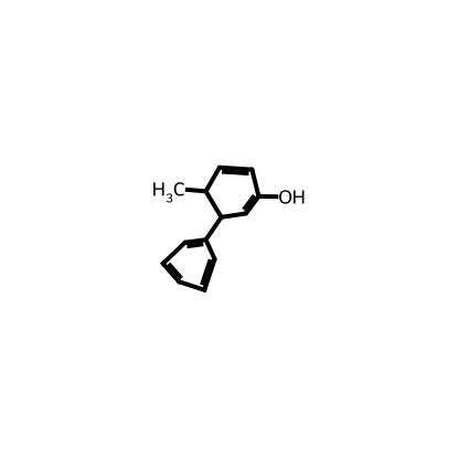 CC1C=CC(O)=CC1c1ccccc1